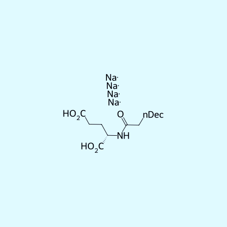 CCCCCCCCCCCC(=O)N[C@@H](CCC(=O)O)C(=O)O.[Na].[Na].[Na].[Na]